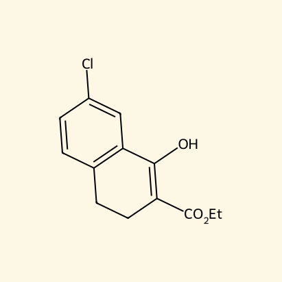 CCOC(=O)C1=C(O)c2cc(Cl)ccc2CC1